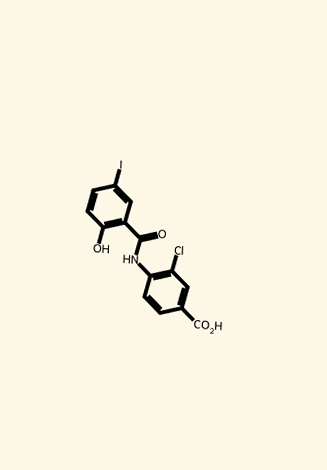 O=C(O)c1ccc(NC(=O)c2cc(I)ccc2O)c(Cl)c1